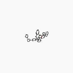 c1ccc(-c2cccc(-c3ccc(N(c4ccccc4-c4ccc5oc6c7ccccc7ccc6c5c4)c4cccc5c4ccc4ccccc45)cc3)c2)cc1